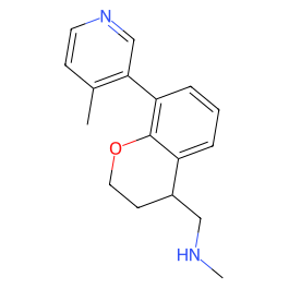 CNCC1CCOc2c(-c3cnccc3C)cccc21